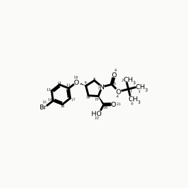 CC(C)(C)OC(=O)N1C[C@@H](Oc2ccc(Br)cc2)C[C@@H]1C(=O)O